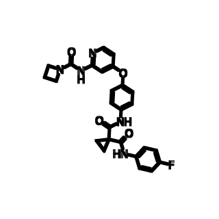 O=C(Nc1cc(Oc2ccc(NC(=O)C3(C(=O)Nc4ccc(F)cc4)CC3)cc2)ccn1)N1CCC1